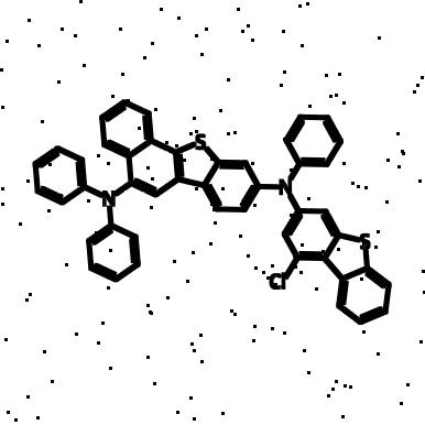 Clc1cc(N(c2ccccc2)c2ccc3c(c2)sc2c4ccccc4c(N(c4ccccc4)c4ccccc4)cc32)cc2sc3ccccc3c12